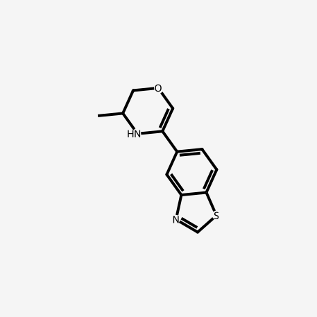 CC1COC=C(c2ccc3scnc3c2)N1